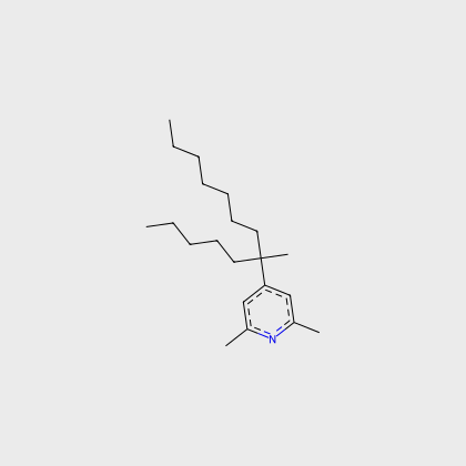 CCCCCCCC(C)(CCCCC)c1cc(C)nc(C)c1